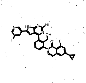 Nc1nc(-c2cccc(-n3ccc4cc(C5CC5)cc(F)c4c3=O)c2CO)c2cc(-c3cncc(F)c3)[nH]c2n1